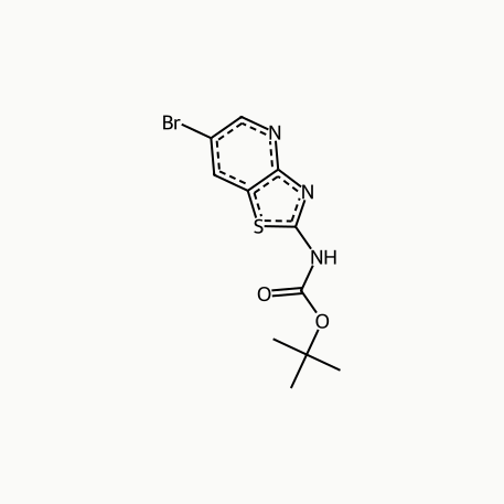 CC(C)(C)OC(=O)Nc1nc2ncc(Br)cc2s1